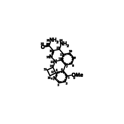 COc1ccncc1-c1cccc2c1N(C1CCC1)N=C(C(N)=O)C2N